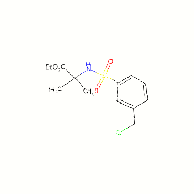 CCOC(=O)C(C)(C)NS(=O)(=O)c1cccc(CCl)c1